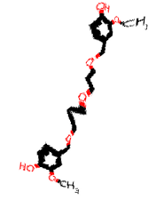 COc1cc(COCCCOCCCOCc2ccc(O)c(OC)c2)ccc1O